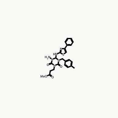 COC(=O)CCN1C(=O)N(N)C(Nc2nc(-c3ccccc3)cs2)N(Cc2ccc(C)cc2)C1=O